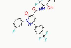 CC(O)[C@H](NC(=O)c1cc(-c2ccc(C(F)(F)F)cc2)nn(-c2cccc(F)c2)c1=O)C(F)(F)F